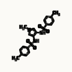 Cc1ccc(S(=O)(=O)Nc2cn(C)cc2NS(=O)(=O)c2ccc(C)cc2)cc1